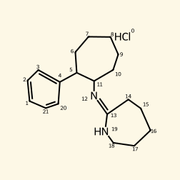 Cl.c1ccc(C2CCCCCC2/N=C2\CCCCCN2)cc1